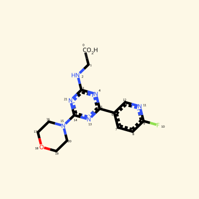 O=C(O)CNc1nc(-c2ccc(F)nc2)nc(N2CCOCC2)n1